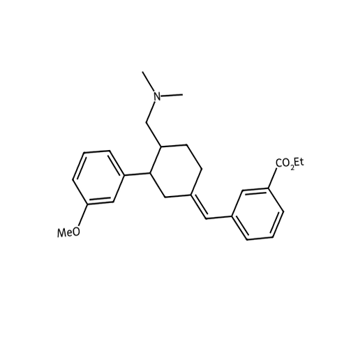 CCOC(=O)c1cccc(C=C2CCC(CN(C)C)C(c3cccc(OC)c3)C2)c1